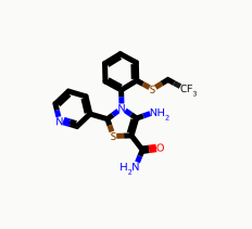 NC(=O)C1=C(N)N(c2ccccc2SCC(F)(F)F)C(c2cccnc2)S1